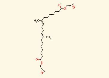 C/C(=C\CC/C=C(\C)CCCCCCC(=O)OCC1CO1)CCCCCCC(=O)OCC1CO1